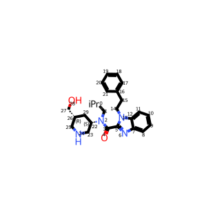 CC(C)CN(C(=O)c1nc2ccccc2n1CCc1ccccc1)[C@@H]1CNC[C@H](CO)C1